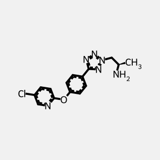 C[C@@H](N)Cn1nnc(-c2ccc(Oc3ccc(Cl)cn3)cc2)n1